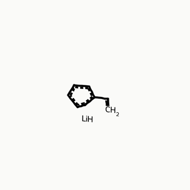 C=Cc1ccccc1.[LiH]